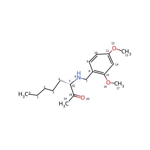 CCCCC[C@H](NCc1ccc(OC)cc1OC)C(C)=O